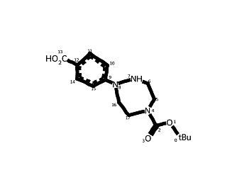 CC(C)(C)OC(=O)N1CCNN(c2ccc(C(=O)O)cc2)CC1